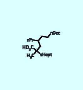 CCCCCCCCCCCCC(CCC)CC(C)(CCCCCCC)C(=O)O